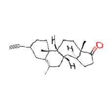 C#CC1CC[C@@]2(C)C(=C(C)C[C@@H]3[C@H]2CC[C@]2(C)C(=O)CC[C@@H]32)C1